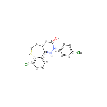 O=C1CC2CCSc3c(Cl)cccc3C2=NN1c1ccc(Cl)cc1